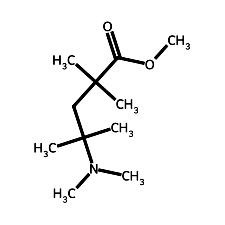 COC(=O)C(C)(C)CC(C)(C)N(C)C